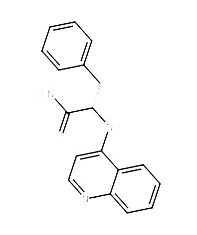 NC(=O)[C@H](Cc1ccccc1)Nc1ccnc2ccccc12